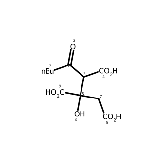 CCCCC(=O)C(C(=O)O)C(O)(CC(=O)O)C(=O)O